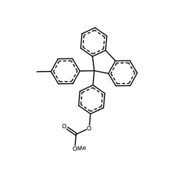 COC(=O)Oc1ccc(C2(c3ccc(C)cc3)c3ccccc3-c3ccccc32)cc1